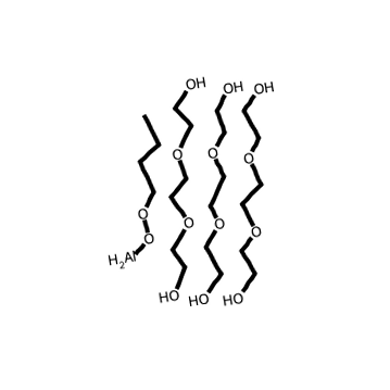 CCCCO[O][AlH2].OCCOCCOCCO.OCCOCCOCCO.OCCOCCOCCO